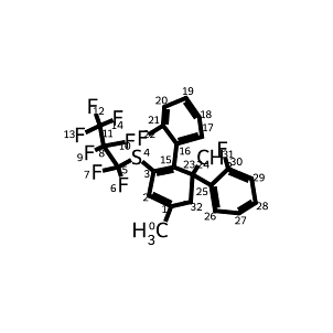 CC1=CC(SC(F)(F)C(F)(F)C(F)(F)F)=C(c2ccccc2F)C(C)(c2ccccc2F)[CH]1